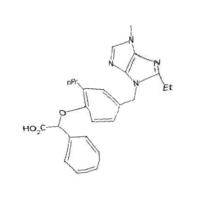 CCCc1cc(Cn2c(CC)nc3c2ncn3C)ccc1OC(C(=O)O)c1ccccc1